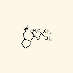 [C-]#[N+]CC1CCCN1C(=O)OC(C)(C)C